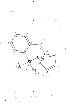 C[Si](C)(C)c1ccccc1CC1=CC=CC1